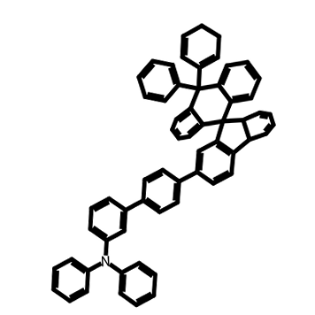 C1=CC2c3ccc(-c4ccc(-c5cccc(N(c6ccccc6)c6ccccc6)c5)cc4)cc3C3(c4ccccc4C(C4=CCCC=C4)(c4ccccc4)c4ccccc43)C2C=C1